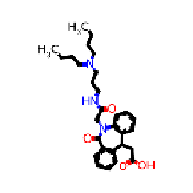 CCCCN(CCCC)CCCNC(=O)CN1C(=O)c2ccccc2C(CC(=O)O)c2ccccc21